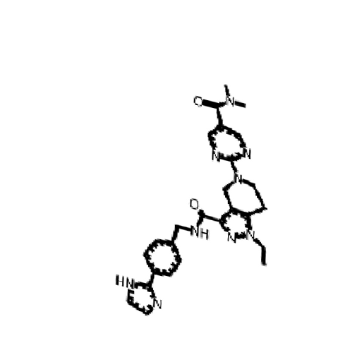 CCn1nc(C(=O)NCc2ccc(-c3ncc[nH]3)cc2)c2c1CCN(c1ncc(C(=O)N(C)C)cn1)C2